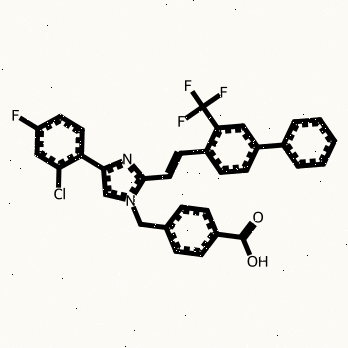 O=C(O)c1ccc(Cn2cc(-c3ccc(F)cc3Cl)nc2/C=C/c2ccc(-c3ccccc3)cc2C(F)(F)F)cc1